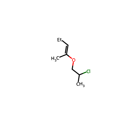 CC/C=C(\C)OCC(C)Cl